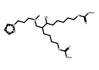 CCCCCCCCCC(=O)OCCCCCC(O)C(CCCCOC(=O)CCCCCCCCC)CN(C)CCCn1cccn1